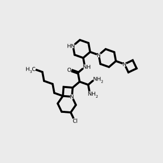 CCCCCC12CCC(Cl)CN1C(C(C(=O)NC1CNCCC1N1CCC(N3CCC3)CC1)C(N)N)C2